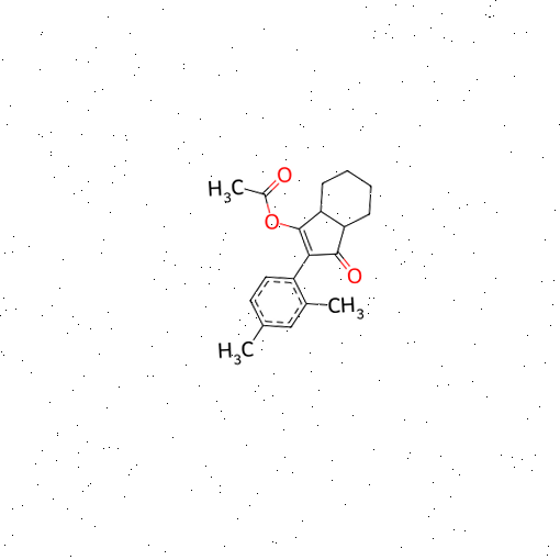 CC(=O)OC1=C(c2ccc(C)cc2C)C(=O)C2CCCCC12